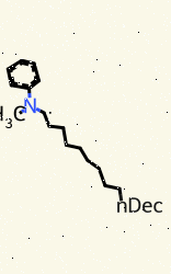 [CH2]CCCCCCCCCCCCCCCCC[CH]N(C)c1ccccc1